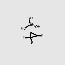 FC1CC1(F)F.O[SiH](O)O